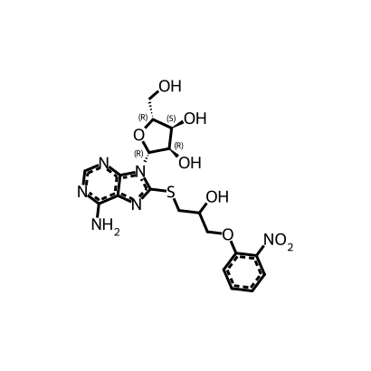 Nc1ncnc2c1nc(SCC(O)COc1ccccc1[N+](=O)[O-])n2[C@@H]1O[C@H](CO)[C@@H](O)[C@H]1O